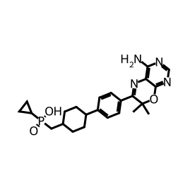 CC1(C)Oc2ncnc(N)c2N=C1c1ccc(C2CCC(CP(=O)(O)C3CC3)CC2)cc1